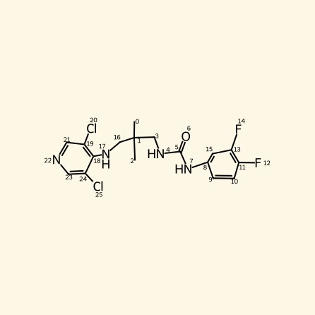 CC(C)(CNC(=O)Nc1ccc(F)c(F)c1)CNc1c(Cl)cncc1Cl